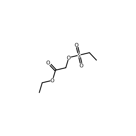 CCOC(=O)COS(=O)(=O)CC